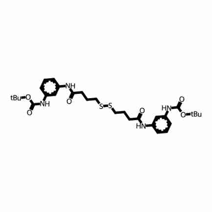 CC(C)(C)OC(=O)Nc1cccc(NC(=O)CCCSSCCCC(=O)Nc2cccc(NC(=O)OC(C)(C)C)c2)c1